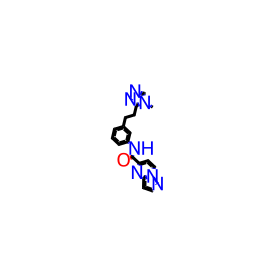 Cn1cnnc1CCc1cccc(NC(=O)c2ccn3nccc3n2)c1